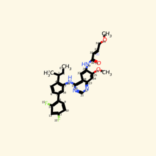 CCC(C)c1ccc(-c2ccc(F)cc2F)cc1Nc1ncnc2cc(OC)c(NC(=O)/C=C/COC)cc12